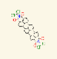 O=C1c2ccc3c4ccc5c6ccc7c8c(ccc(c9ccc(c%10ccc(c2c3%10)C(=O)N1C(Cl)Cl)c4c59)c86)C(=O)N(C(Cl)Cl)C7=O